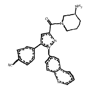 N#Cc1ccc(-c2cc(C(=O)N3CCCC(N)C3)nn2-c2ccc3ncccc3c2)cc1